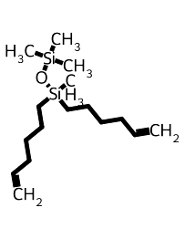 C=CCCCC[Si](C)(CCCCC=C)O[Si](C)(C)C